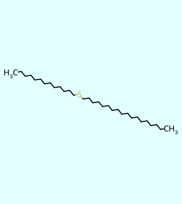 CCCCCCCCCCCCCCCCCCSCCCCCCCCCCCCC